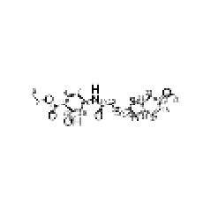 CCOC(=O)c1ccc(NC(=O)CSc2nc3ccc(OC)cc3s2)cc1O